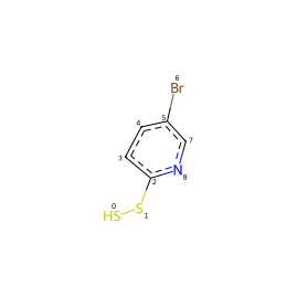 SSc1ccc(Br)cn1